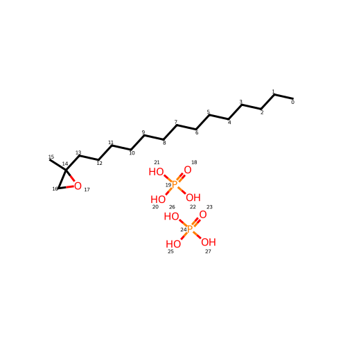 CCCCCCCCCCCCCCC1(C)CO1.O=P(O)(O)O.O=P(O)(O)O